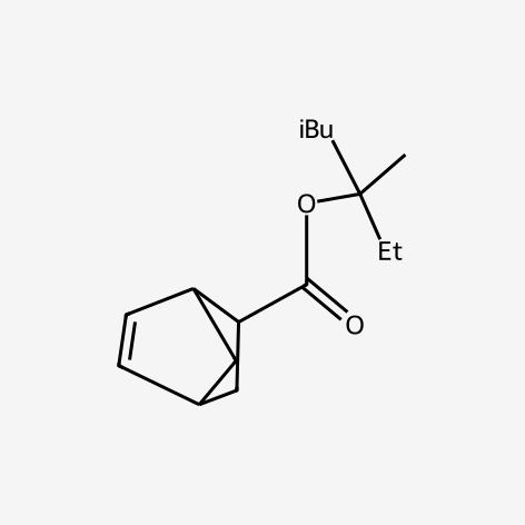 CCC(C)C(C)(CC)OC(=O)C1CC2C=CC1C2